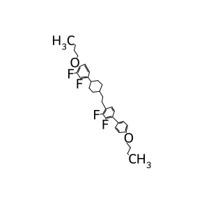 CCCCOc1ccc(-c2ccc(CCC3CCC(c4ccc(OCCCC)c(F)c4F)CC3)c(F)c2F)cc1